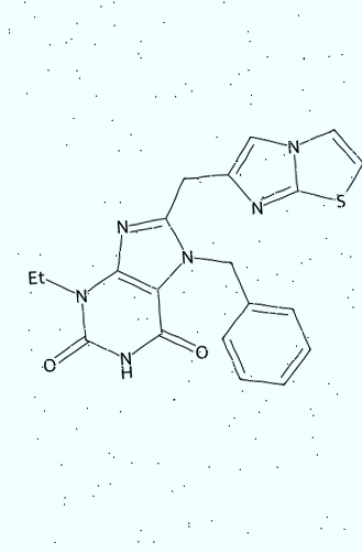 CCn1c(=O)[nH]c(=O)c2c1nc(Cc1cn3ccsc3n1)n2Cc1ccccc1